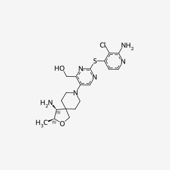 C[C@@H]1OCC2(CCN(c3cnc(Sc4ccnc(N)c4Cl)nc3CO)CC2)[C@@H]1N